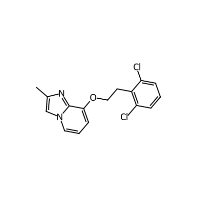 Cc1cn2cccc(OCCc3c(Cl)cccc3Cl)c2n1